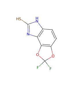 FC1(F)Oc2ccc3[nH]c(S)nc3c2O1